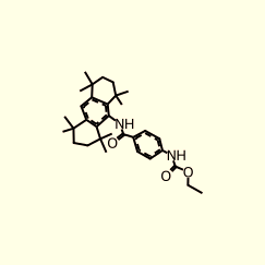 CCOC(=O)Nc1ccc(C(=O)Nc2c3c(cc4c2C(C)(C)CCC4(C)C)C(C)(C)CCC3(C)C)cc1